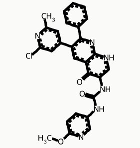 COc1ccc(NC(=O)Nc2c[nH]c3nc(-c4ccccc4)c(-c4cc(C)nc(Cl)c4)cc3c2=O)cn1